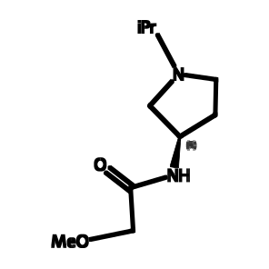 COCC(=O)N[C@@H]1CCN(C(C)C)C1